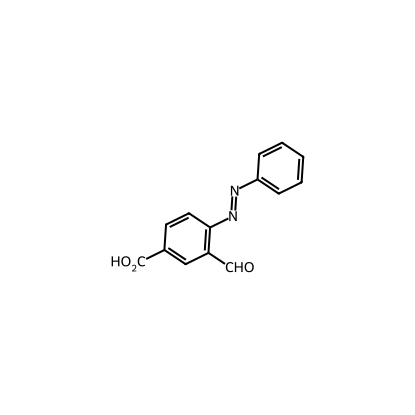 O=Cc1cc(C(=O)O)ccc1/N=N/c1ccccc1